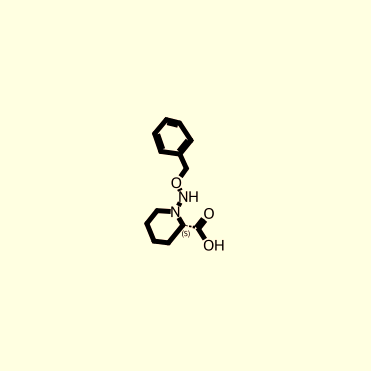 O=C(O)[C@@H]1CCCCN1NOCc1ccccc1